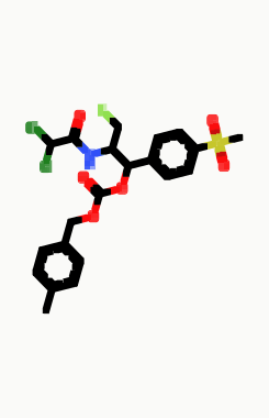 Cc1ccc(COC(=O)OC(c2ccc(S(C)(=O)=O)cc2)C(CF)NC(=O)C(Cl)Cl)cc1